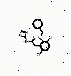 O=C(Cc1c(Cl)ccc(Cl)c1OCc1ccccc1)NC1N=CS1